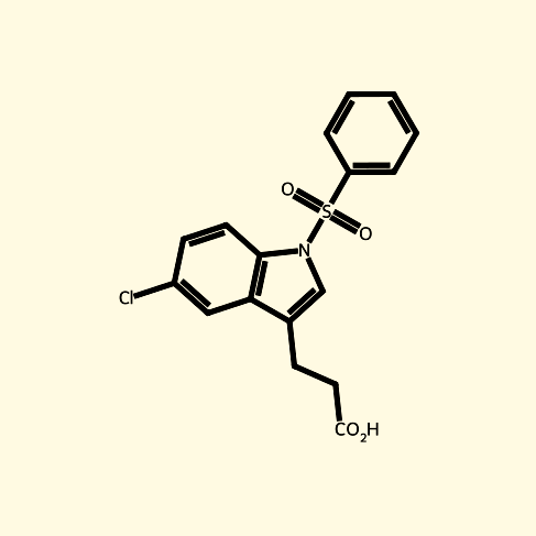 O=C(O)CCc1cn(S(=O)(=O)c2ccccc2)c2ccc(Cl)cc12